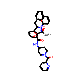 COC(=O)C1=C(C(=O)NC2CCN(C(=O)c3ccccn3)CC2)C2C=CC1(C(Cc1ccccc1)Nc1ccccc1)O2